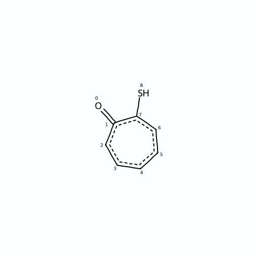 O=c1cccccc1S